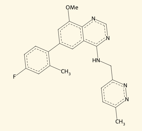 COc1cc(-c2ccc(F)cc2C)cc2c(NCc3ccc(C)nn3)ncnc12